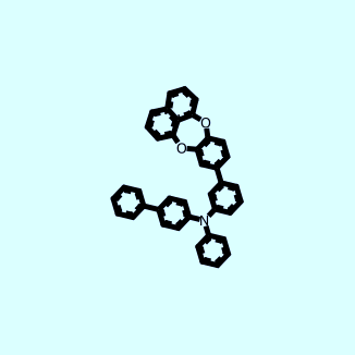 c1ccc(-c2ccc(N(c3ccccc3)c3cccc(-c4ccc5c(c4)Oc4cccc6cccc(c46)O5)c3)cc2)cc1